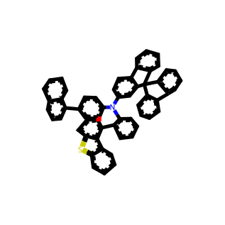 c1ccc(N(c2ccc(-c3cccc4ccccc34)cc2)c2ccc3c(c2)C2(c4ccccc4-c4ccccc42)c2ccccc2-3)c(-c2cccc3sc4ccccc4c23)c1